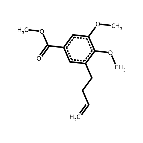 C=CCCc1cc(C(=O)OC)cc(OC)c1OC